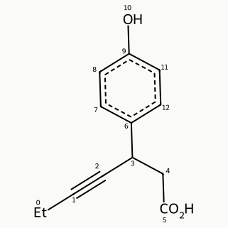 CCC#CC(CC(=O)O)c1ccc(O)cc1